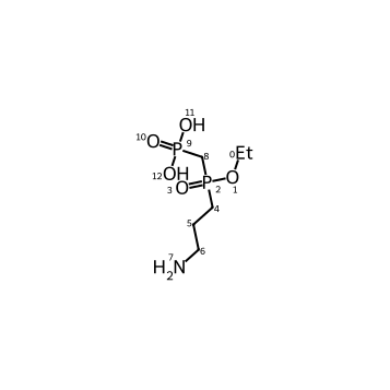 CCOP(=O)(CCCN)CP(=O)(O)O